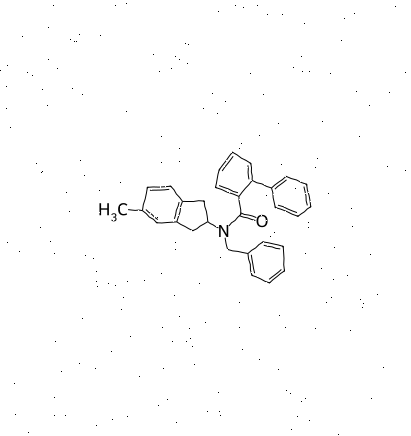 Cc1ccc2c(c1)CC(N(Cc1ccccc1)C(=O)c1ccccc1-c1ccccc1)C2